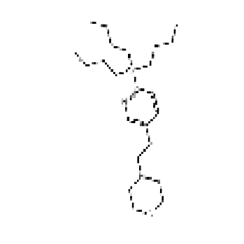 CCC[CH2][Sn]([CH2]CCC)([CH2]CCC)[c]1ccc(CCN2CCOCC2)cn1